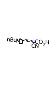 CCCCn1ccc(/C=C/C=C(\C#N)C(=O)O)c1